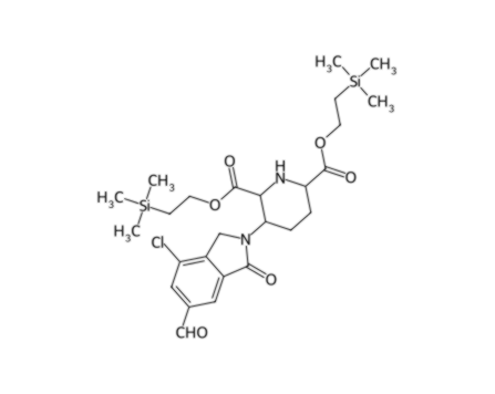 C[Si](C)(C)CCOC(=O)C1CCC(N2Cc3c(Cl)cc(C=O)cc3C2=O)C(C(=O)OCC[Si](C)(C)C)N1